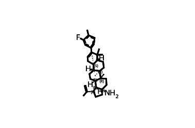 C=C(C)[C@@H]1CC[C@]2(N)CC[C@]3(C)[C@H](CC[C@@H]4[C@@]5(C)CC=C(c6ccc(C)c(F)c6)C(C)(C)[C@@H]5CC[C@]43C)[C@@H]12